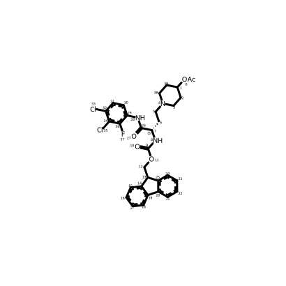 CC(=O)OC1CCN(CC[C@H](NC(=O)OCC2c3ccccc3-c3ccccc32)C(=O)Nc2ccc(Cl)c(Cl)c2F)CC1